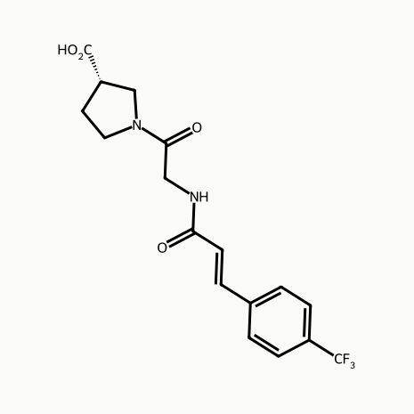 O=C(/C=C/c1ccc(C(F)(F)F)cc1)NCC(=O)N1CC[C@H](C(=O)O)C1